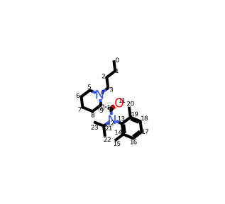 CCCCN1CCCC[C@H]1C(=O)N(c1c(C)cccc1C)C(C)C